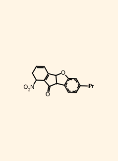 CC(C)c1ccc2c(c1)O[C]1[C]2C(=O)C2=C1C=CCC2[N+](=O)[O-]